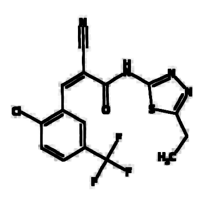 CCc1nnc(NC(=O)C(C#N)=Cc2cc(C(F)(F)F)ccc2Cl)s1